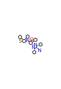 N#Cc1c(-c2ccccc2)nc(-c2ccc(-n3c4ccccc4c4c5c(ccc43)sc3ccccc35)c3oc4ccccc4c23)nc1-c1ccccc1